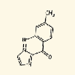 Cc1ccc(C(=O)c2ncc[nH]2)c(Br)c1